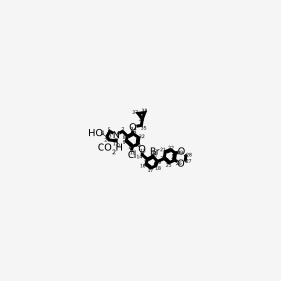 O=C(O)[C@@H]1C[C@H](O)CN1Cc1cc(Cl)c(OCc2cccc(-c3ccc4c(c3)OCCO4)c2Br)cc1OCC1CC1